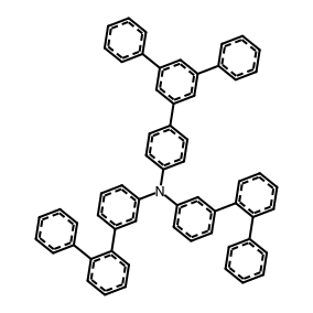 c1ccc(-c2cc(-c3ccccc3)cc(-c3ccc(N(c4cccc(-c5ccccc5-c5ccccc5)c4)c4cccc(-c5ccccc5-c5ccccc5)c4)cc3)c2)cc1